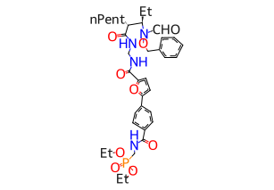 CCCCC[C@@H](C(=O)NCNC(=O)c1ccc(-c2ccc(C(=O)NCP(=O)(OCC)OCC)cc2)o1)[C@@H](CC)N(C=O)OCc1ccccc1